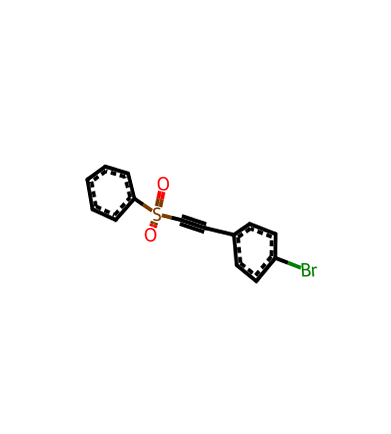 O=S(=O)(C#Cc1ccc(Br)cc1)c1ccccc1